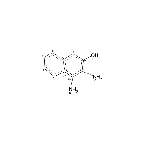 Nc1c(O)cc2ccccc2c1N